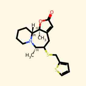 C[C@H]1C(SCc2cccs2)CC2=CC(=O)O[C@]2(C)[C@H]2CCCCN12